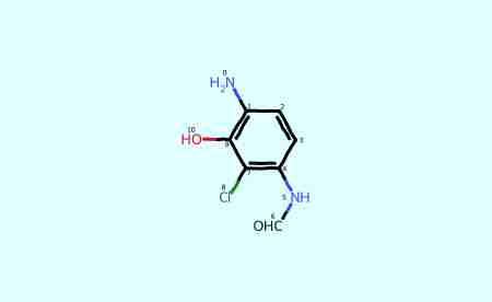 Nc1ccc(NC=O)c(Cl)c1O